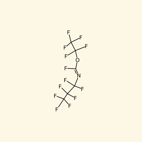 FC(=NC(F)(F)C(F)(F)C(F)(F)F)OC(F)(F)C(F)(F)F